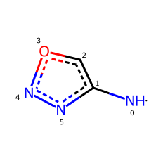 [NH]c1conn1